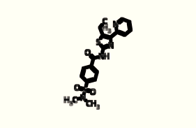 CCc1sc(NC(=O)c2ccc(S(=O)(=O)N(C)C)cc2)nc1-c1ccccn1